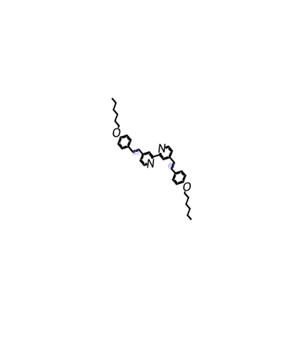 CCCCCCOc1ccc(/C=C/c2ccnc(-c3cc(/C=C/c4ccc(OCCCCCC)cc4)ccn3)c2)cc1